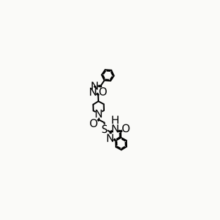 O=C(CSc1nc2ccccc2c(=O)[nH]1)N1CCC(c2nnc(-c3ccccc3)o2)CC1